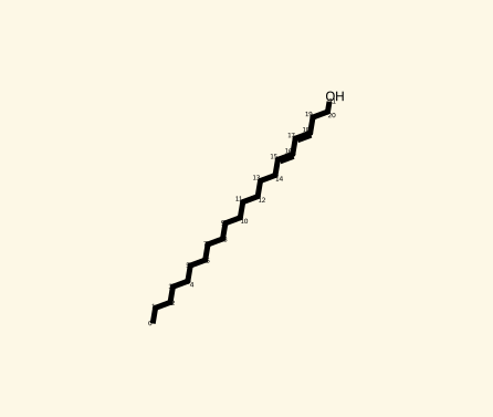 CCCCCCCCCCCCCCC/C=C/C=C/CCO